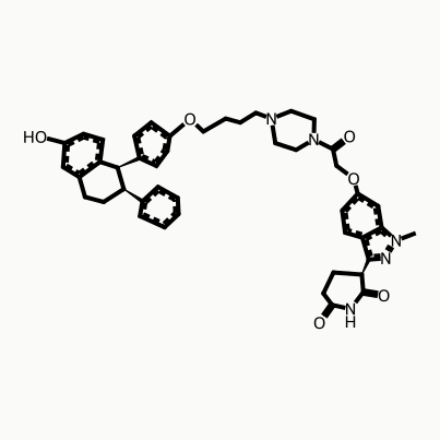 Cn1nc([C@@H]2CCC(=O)NC2=O)c2ccc(OCC(=O)N3CCN(CCCCOc4ccc([C@@H]5c6ccc(O)cc6CC[C@@H]5c5ccccc5)cc4)CC3)cc21